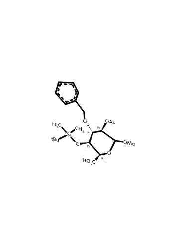 COC1O[C@@H](C(=O)O)[C@@H](O[Si](C)(C)C(C)(C)C)[C@H](OCc2ccccc2)[C@H]1OC(C)=O